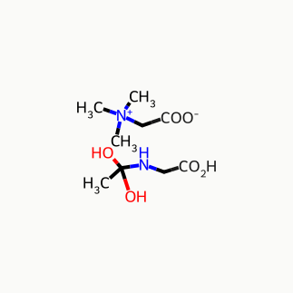 CC(O)(O)NCC(=O)O.C[N+](C)(C)CC(=O)[O-]